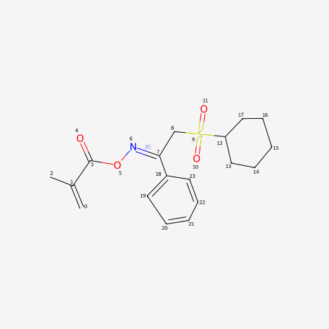 C=C(C)C(=O)O/N=C(/CS(=O)(=O)C1CCCCC1)c1ccccc1